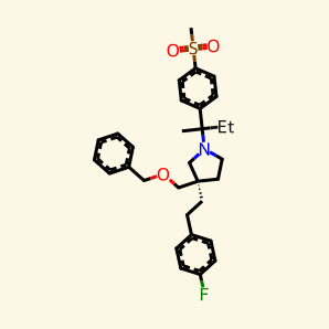 CCC(C)(c1ccc(S(C)(=O)=O)cc1)N1CC[C@@](CCc2ccc(F)cc2)(COCc2ccccc2)C1